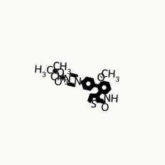 COc1ccc2[nH]c(=O)c3sccc3c2c1-c1ccc(N2CCN(C(=O)OC(C)(C)C)CC2)cc1